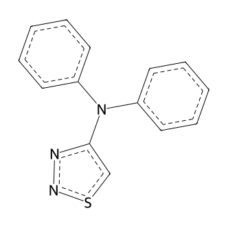 c1ccc(N(c2ccccc2)c2csnn2)cc1